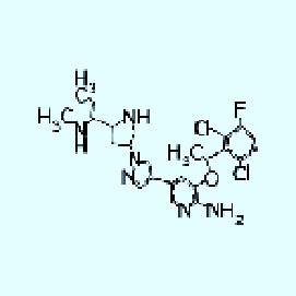 CC=C(NC)C1CC(n2cc(-c3cnc(N)c(OC(C)c4c(Cl)ccc(F)c4Cl)c3)cn2)CN1